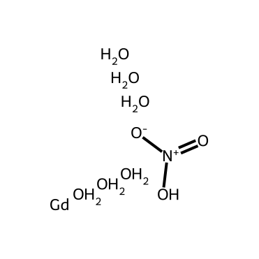 O.O.O.O.O.O.O=[N+]([O-])O.[Gd]